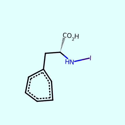 O=C(O)[C@@H](Cc1ccccc1)NI